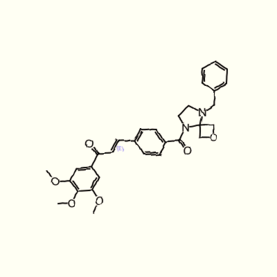 COc1cc(C(=O)/C=C/c2ccc(C(=O)N3CCN(Cc4ccccc4)C34COC4)cc2)cc(OC)c1OC